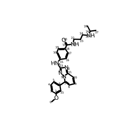 COc1cccc(-c2cccc3nc(Nc4ccc(C(=O)NCCCNC(C)C)cc4)nn23)c1